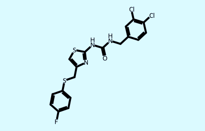 O=C(NCc1ccc(Cl)c(Cl)c1)Nc1nc(CSc2ccc(F)cc2)cs1